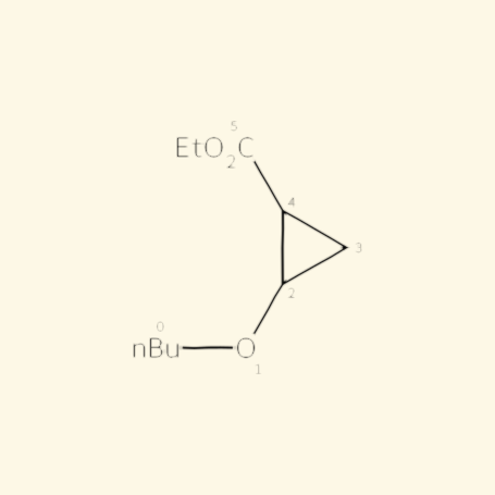 CCCCOC1CC1C(=O)OCC